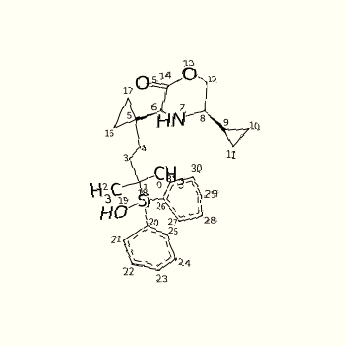 CC(C)(CCC1([C@@H]2N[C@H](C3CC3)COC2=O)CC1)[Si](O)(c1ccccc1)c1ccccc1